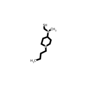 CCCCN1CCC(N(C)CS)CC1